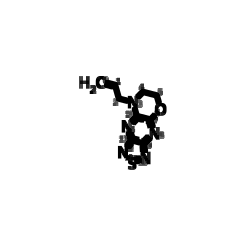 C=CCN1CCOc2nc3nsnc3nc21